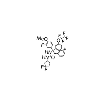 COc1ccc([C@@](Cc2ccccc2)(NC(=O)NC2CCC(F)(F)C2)c2cc(F)cc(OC(F)(F)C(F)F)c2)cc1F